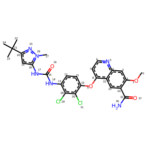 COc1cc2nccc(Oc3ccc(NC(=O)Nc4cc(C(C)(C)C)nn4C)c(Cl)c3Cl)c2cc1C(N)=O